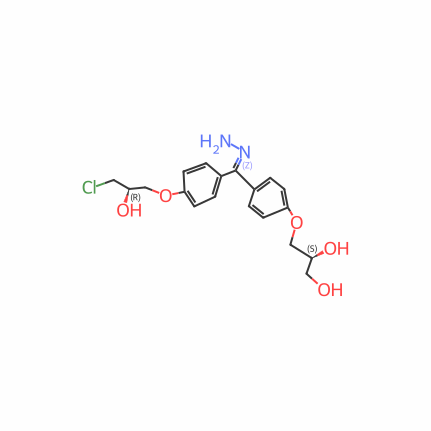 N/N=C(/c1ccc(OC[C@@H](O)CO)cc1)c1ccc(OC[C@@H](O)CCl)cc1